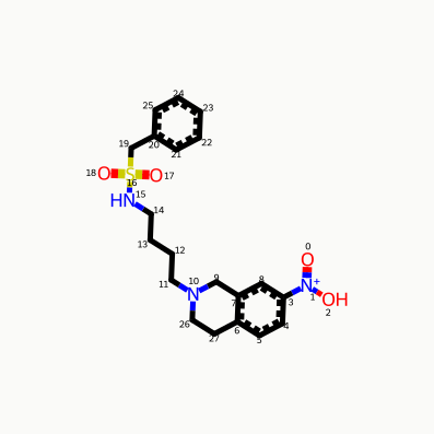 O=[N+](O)c1ccc2c(c1)CN(CCCCNS(=O)(=O)Cc1ccccc1)CC2